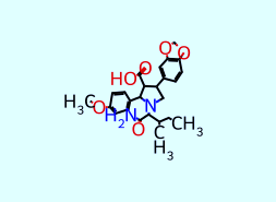 CCC(C)C(C(N)=O)N1CC(c2ccc3c(c2)OCO3)C(C(=O)O)C1c1ccc(OC)cc1